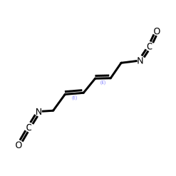 O=C=NC/C=C/C=C/CN=C=O